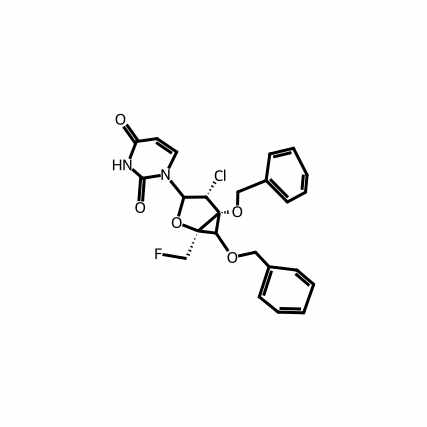 O=c1ccn(C2O[C@]3(CF)C(OCc4ccccc4)[C@]3(OCc3ccccc3)[C@H]2Cl)c(=O)[nH]1